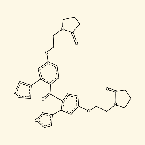 O=C(c1ccc(OCCN2CCCC2=O)cc1-c1ccsc1)c1ccc(OCCN2CCCC2=O)cc1-c1ccsc1